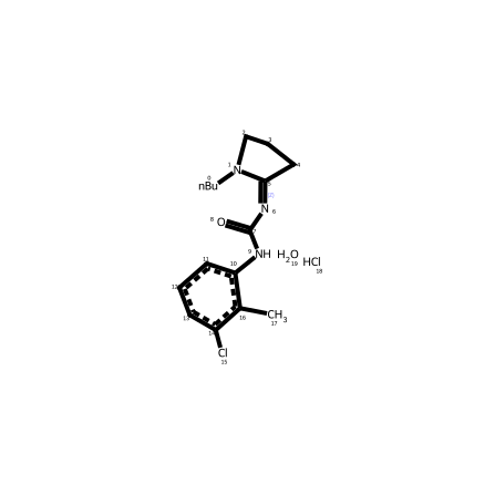 CCCCN1CCC/C1=N/C(=O)Nc1cccc(Cl)c1C.Cl.O